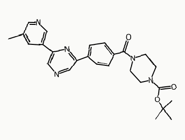 Cc1cncc(-c2cncc(-c3ccc(C(=O)N4CCN(C(=O)OC(C)(C)C)CC4)cc3)n2)c1